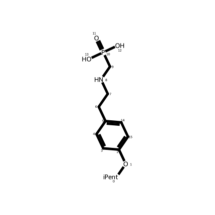 CCCC(C)Oc1ccc(CCNCP(=O)(O)O)cc1